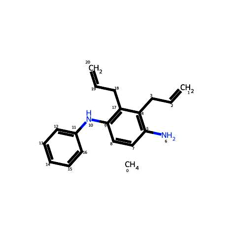 C.C=CCc1c(N)ccc(Nc2ccccc2)c1CC=C